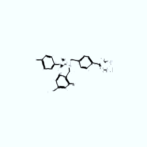 O=S(=O)(c1ccc(Cl)cc1)N(Cc1ccc(-c2nn[nH]n2)cc1)Cc1ccc(Cl)cc1F